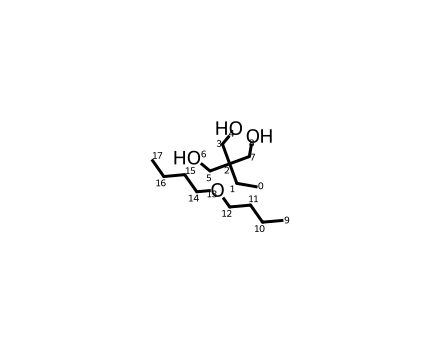 CCC(CO)(CO)CO.CCCCOCCCC